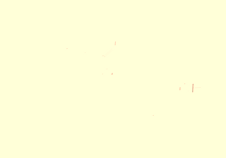 CCCC(C)(C(=O)Oc1ccc(O)c(C(C)(C)C)c1)C(C)(C)C